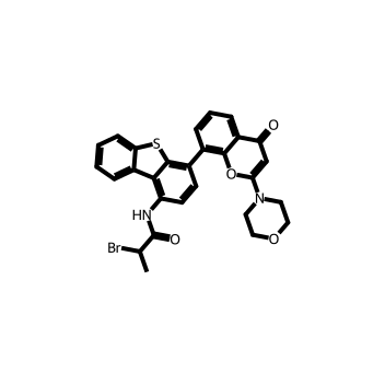 CC(Br)C(=O)Nc1ccc(-c2cccc3c(=O)cc(N4CCOCC4)oc23)c2sc3ccccc3c12